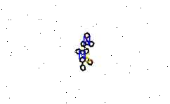 C1=CC2C(CC1)SC1=C(N3C4=C(C(C5=CCCC6=C5C5CCCCC5N6C5CC=CCC5)=CCC4)C4C=CCCC43)CCC(C3=CCCCC3)C12